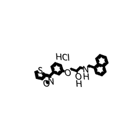 Cl.O[C@H](CNCc1cccc2ccccc12)COc1cccc(-c2noc3ccsc23)c1